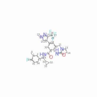 Cc1cc([C@@H](NC(=O)c2cc(Cn3ccoc3=N)cc(-c3cn(C)nc3C(F)(F)F)c2)C2CC2)ccc1F